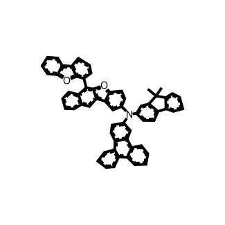 CC1(C)c2ccccc2-c2ccc(N(c3ccc4oc5c(-c6cccc7c6oc6ccccc67)c6ccccc6cc5c4c3)c3ccc4c5ccccc5c5ccccc5c4c3)cc21